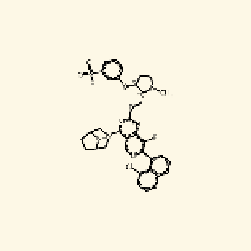 CN1CC[C@H](Oc2cccc(S(=O)(=O)F)c2)[C@H]1COc1nc(N2CC3CCC(C2)N3)c2cnc(-c3cccc4cccc(Cl)c34)c(F)c2n1